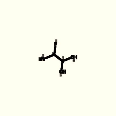 CCCC(F)B(O)O